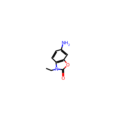 CCn1c(=O)oc2cc(N)ccc21